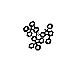 CC1(c2ccccc2)c2cc(N(c3ccc4c(c3)C(c3ccccc3)(c3ccccc3)c3ccccc3-4)c3cccc4c3-c3ccccc3C4(c3ccccc3)c3ccccc3)ccc2-c2c(-c3ccccc3)cccc21